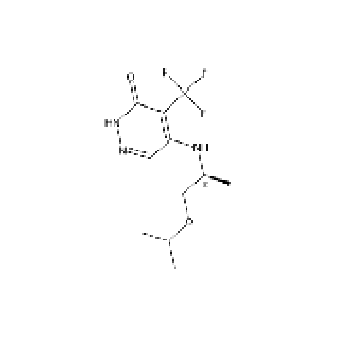 CC(C)OC[C@H](C)Nc1cn[nH]c(=O)c1C(F)(F)F